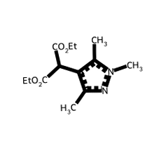 CCOC(=O)C(C(=O)OCC)c1c(C)nn(C)c1C